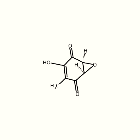 CC1=C(O)C(=O)[C@H]2O[C@H]2C1=O